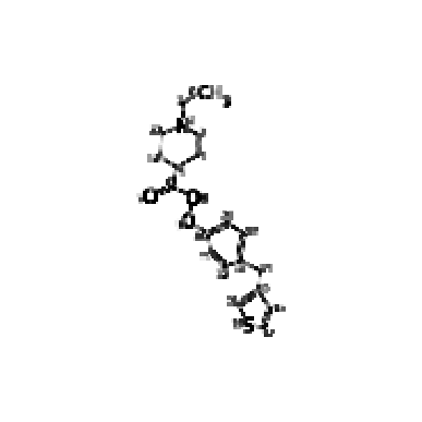 CCN1CCC(C(=O)OOc2ccc(Cc3ccsc3)cc2)CC1